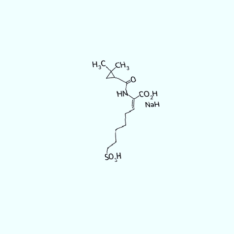 CC1(C)CC1C(=O)N/C(=C\CCCCCS(=O)(=O)O)C(=O)O.[NaH]